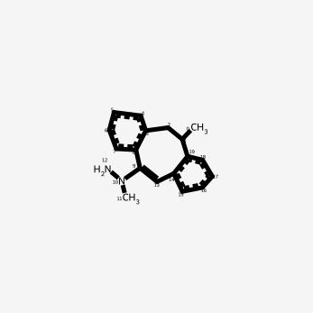 CC1Cc2ccccc2/C(N(C)N)=C\c2ccccc21